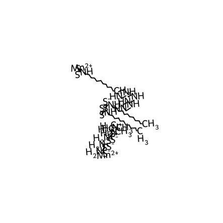 C1CNCCN1.C1CNCCN1.C1CNCCN1.CCCCCCCCCCCCNC(=S)[S-].CCCCCCCCCCCCNC(=S)[S-].CCCCCCCCCCCCNC(=S)[S-].C[NH2+]C.C[NH2+]C.NC(=S)[S-].NC(=S)[S-].NC(=S)[S-].[Mn+2].[Mn+2]